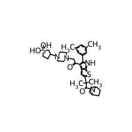 Cc1cc(C)cc(-c2[nH]c3sc(C(C)(C)C(=O)N4C5CCC4CC5)cc3c2C(=O)CN2CCN(C3CCS(O)(O)C3)CC2)c1